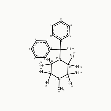 [2H]C(c1ccccc1)(c1ccccc1)N1C([2H])([2H])C([2H])([2H])N(C)C([2H])([2H])C1([2H])[2H]